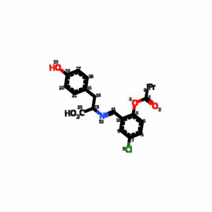 CC(C)C(=O)Oc1ccc(Cl)cc1C=NC(Cc1ccc(O)cc1)C(=O)O